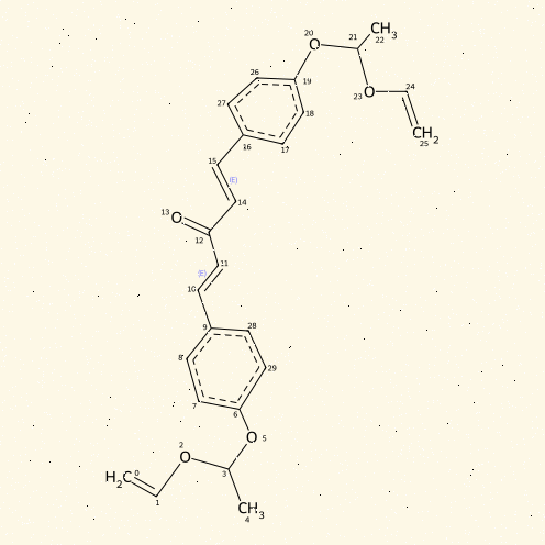 C=COC(C)Oc1ccc(/C=C/C(=O)/C=C/c2ccc(OC(C)OC=C)cc2)cc1